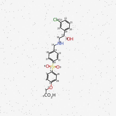 O=C(O)COc1ccc(S(=O)(=O)c2ccc(CNC[C@@H](O)c3cccc(Cl)c3)cc2)cc1